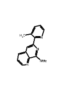 CNc1nc(-c2ncccc2C)cc2cccnc12